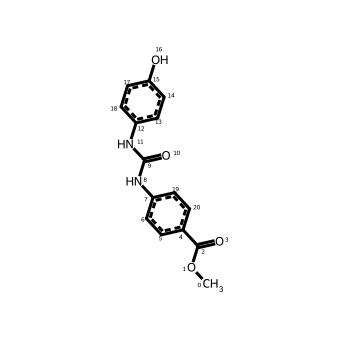 COC(=O)c1ccc(NC(=O)Nc2ccc(O)cc2)cc1